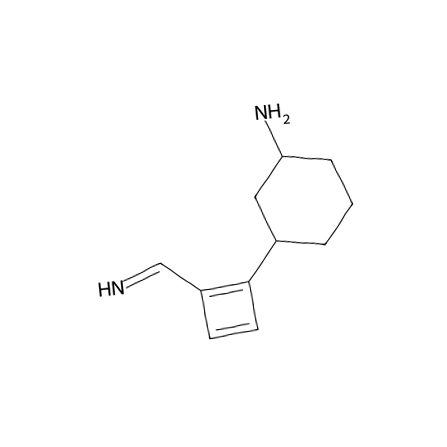 N=CC1=C(C2CCCC(N)C2)C=C1